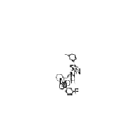 Cc1[c]ccc(-c2cnc(NCCC3CCCCN3S(=O)(=O)c3cccc(F)c3)s2)c1